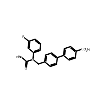 CCCCC(=O)N(Cc1ccc(-c2ccc(C(=O)O)cc2)cc1)c1cccc(F)c1